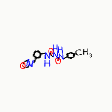 Cc1ccc(CNC(=O)NCC(=O)NCc2cccc(CN3CCOCC3)c2)cc1